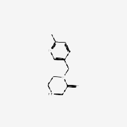 O=C1CNCCN1Cc1ccc(I)nc1